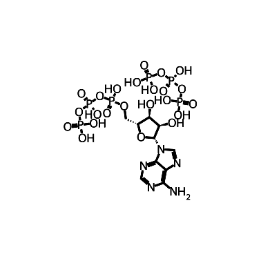 Nc1ncnc2c1ncn2[C@@H]1O[C@H](COP(=O)(O)OP(=O)(O)OP(=O)(O)O)[C@@H](O)[C@H]1O.O=P(O)(O)OP(=O)(O)OP(=O)(O)O